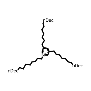 CCCCCCCCCCCCCCCCCC[n+]1cc(CCCCCCCCCCCCCCCCC)cc(CCCCCCCCCCCCCCCCC)c1